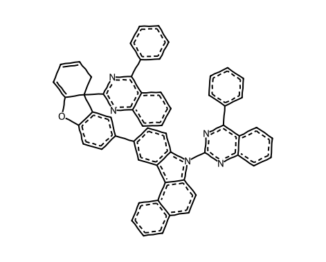 C1=CCC2(c3nc(-c4ccccc4)c4ccccc4n3)C(=C1)Oc1ccc(-c3ccc4c(c3)c3c5ccccc5ccc3n4-c3nc(-c4ccccc4)c4ccccc4n3)cc12